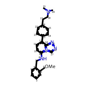 COc1ccccc1CNc1ccc(-c2ccc(CCN(C)C)cc2)c2nncn12